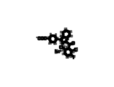 O=C([O-])c1ccc(-c2nc(C(=O)c3c(Cl)ccc(F)c3Cl)n3ccccc23)cc1.[Na+]